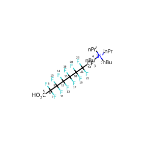 CCCC[N+](CCC)(CCC)CCCC.O=C(O)C(F)(F)C(F)(F)C(F)(F)C(F)(F)C(F)(F)C(F)(F)C(F)(F)F